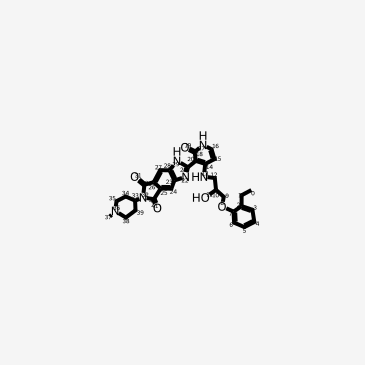 CCc1ccccc1OCC(O)CNc1cc[nH]c(=O)c1-c1nc2cc3c(cc2[nH]1)C(=O)N(C1CCN(C)CC1)C3=O